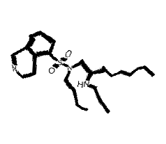 CCCCCCC(CN(CCCC)S(=O)(=O)c1cccc2cnccc12)NCCC